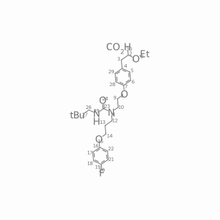 CCOC(Cc1ccc(OCCN(CCCOc2ccc(F)cc2)C(=O)NCC(C)(C)C)cc1)C(=O)O